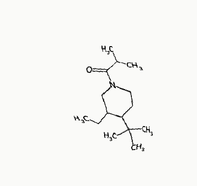 CCC1CN(C(=O)C(C)C)CCC1C(C)(C)C